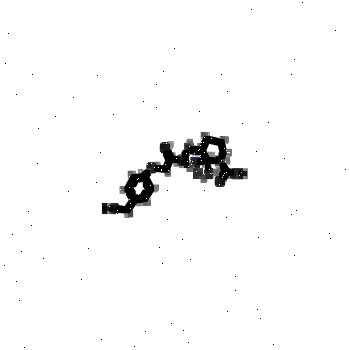 C[C@@]1(N)/C(=N\OC(=O)COc2ccc(CO)cc2)CCCN1C(=O)O